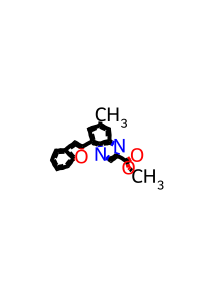 COC(=O)c1cnc2c(-c3cc4ccccc4o3)cc(C)cc2n1